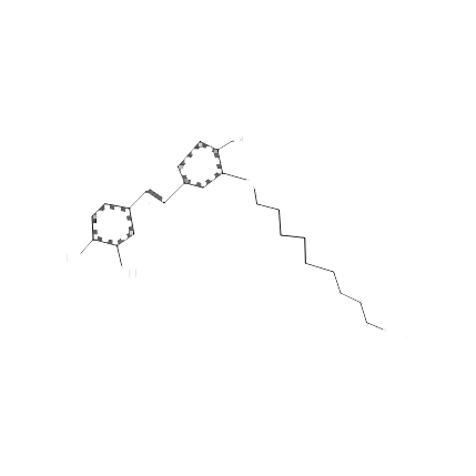 CCCCCCCCCCOc1cc(/C=C/c2ccc(Br)c(C)c2)ccc1Br